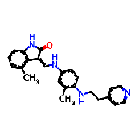 Cc1cc(NC=C2C(=O)Nc3cccc(C)c32)ccc1NCCc1ccncc1